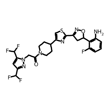 Nc1cccc(F)c1C1CC(c2nc(C3CCN(C(=O)Cn4nc(C(F)F)cc4C(F)F)CC3)cs2)=NO1